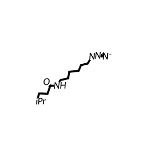 CC(C)CCC(=O)NCCCCCCN=[N+]=[N-]